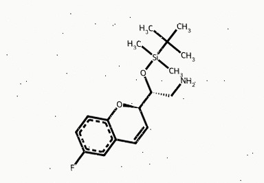 CC(C)(C)[Si](C)(C)O[C@H](CN)[C@H]1C=Cc2cc(F)ccc2O1